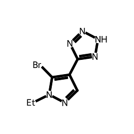 CCn1ncc(-c2nn[nH]n2)c1Br